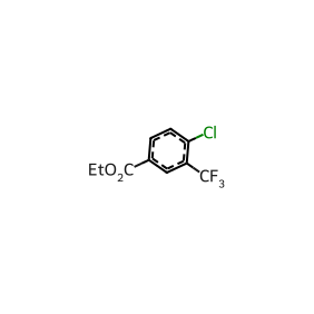 CCOC(=O)c1ccc(Cl)c(C(F)(F)F)c1